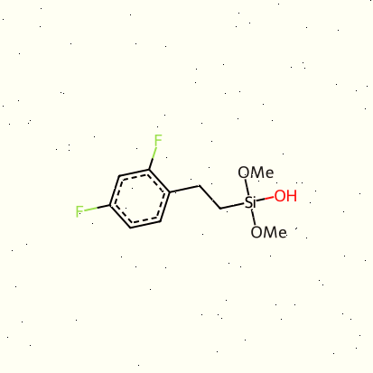 CO[Si](O)(CCc1ccc(F)cc1F)OC